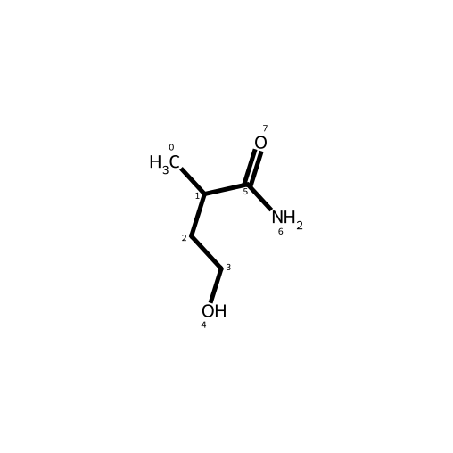 C[C](CCO)C(N)=O